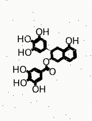 O=C(O[C@@H]1Cc2cccc(O)c2C[C@H]1c1cc(O)c(O)c(O)c1)c1cc(O)c(O)c(O)c1